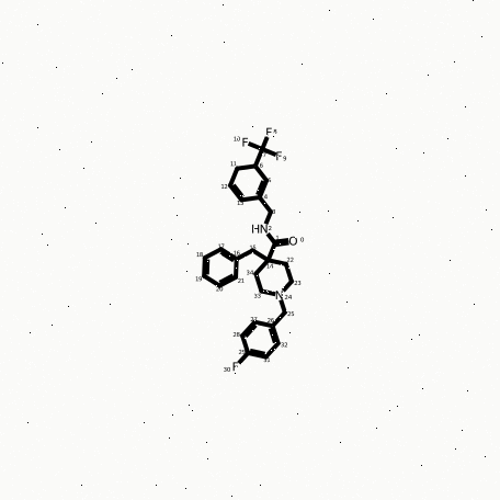 O=C(NCC1=CC(C(F)(F)F)CC=C1)C1(Cc2ccccc2)CCN(Cc2ccc(F)cc2)CC1